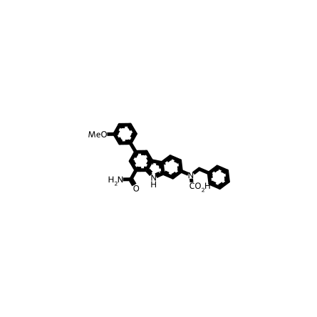 COc1cccc(-c2cc(C(N)=O)c3[nH]c4cc(N(Cc5ccccc5)C(=O)O)ccc4c3c2)c1